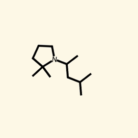 CC(C)CC(C)N1CCCC1(C)C